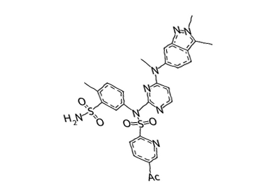 CC(=O)c1ccc(S(=O)(=O)N(c2ccc(C)c(S(N)(=O)=O)c2)c2nccc(N(C)c3ccc4c(C)n(C)nc4c3)n2)nc1